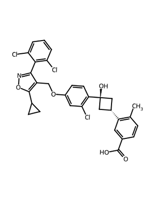 Cc1ccc(C(=O)O)cc1[C@H]1C[C@@](O)(c2ccc(OCc3c(-c4c(Cl)cccc4Cl)noc3C3CC3)cc2Cl)C1